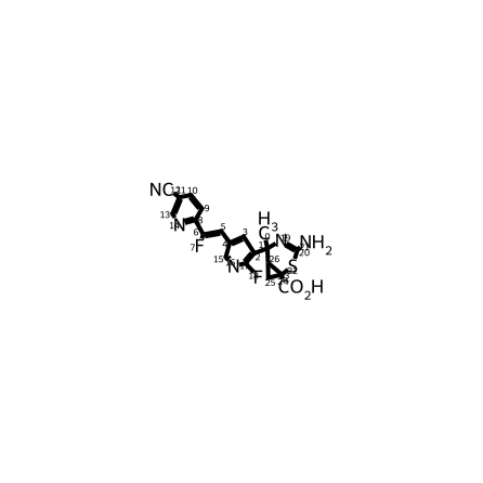 CC1(c2cc(/C=C(\F)c3ccc(C#N)cn3)cnc2F)N=C(N)SC2(C(=O)O)CC21